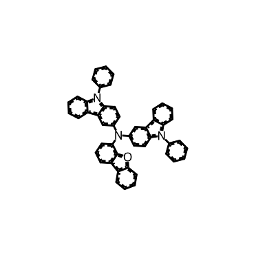 c1ccc(-n2c3ccccc3c3cc(N(c4ccc5c(c4)c4ccccc4n5-c4ccccc4)c4cccc5c4oc4ccccc45)ccc32)cc1